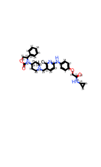 Cc1nc(Nc2ccc(OCC(=O)NC3CC3)cc2)ccc1CN1CCC(N2C(=O)OCC2c2ccccc2)CC1